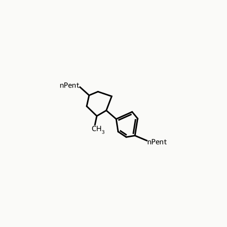 CCCCCc1ccc(C2CCC(CCCCC)CC2C)cc1